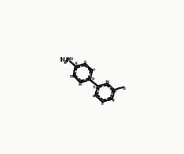 Cc1cccc(-c2ccc(P)cc2)c1